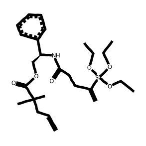 C=CCC(C)(C)C(=O)OC[C@H](NC(=O)CCC(=C)[Si](OCC)(OCC)OCC)c1ccccc1